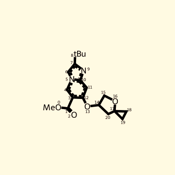 COC(=O)c1cn2cc(C(C)(C)C)nc2cc1OC1COC2(CC2)C1